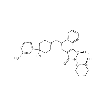 Cc1ccnc(C2(C#N)CCN(Cc3cc4c(c5ncccc35)[C@@H](C)N([C@H]3CCCC[C@@H]3O)C4=O)CC2)c1